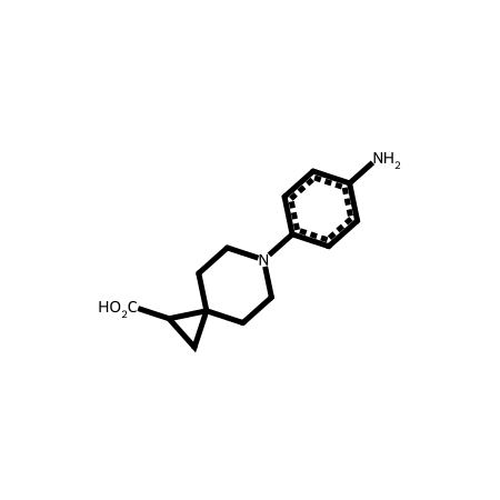 Nc1ccc(N2CCC3(CC2)CC3C(=O)O)cc1